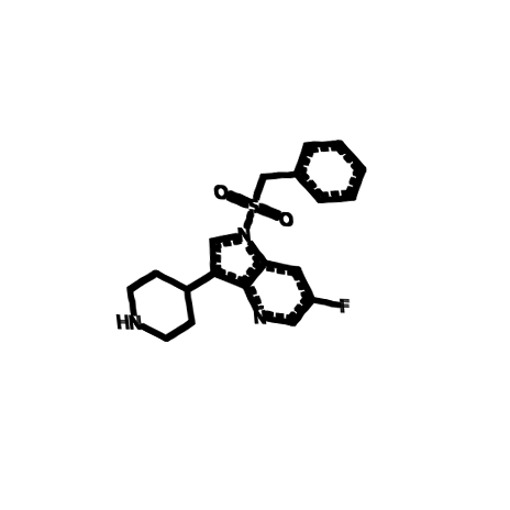 O=S(=O)(Cc1ccccc1)n1cc(C2CCNCC2)c2ncc(F)cc21